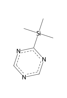 C[Si](C)(C)c1ncncn1